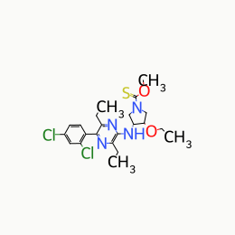 CCO[C@H]1CN(C(=S)OC)C[C@H]1Nc1nc(CC)c(-c2ccc(Cl)cc2Cl)nc1CC